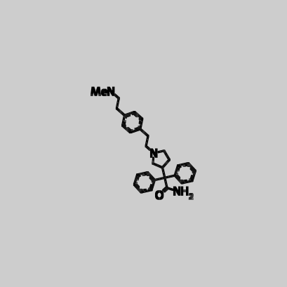 CNCCc1ccc(CCN2CCC(C(C(N)=O)(c3ccccc3)c3ccccc3)C2)cc1